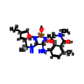 CC[C@@H](Nc1n[s+]([O-])nc1Nc1ccc(C(F)(F)F)c(C(=O)N(C)C)c1O)c1cc(C)co1